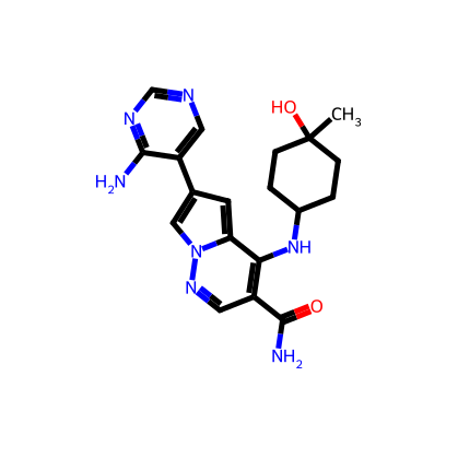 CC1(O)CCC(Nc2c(C(N)=O)cnn3cc(-c4cncnc4N)cc23)CC1